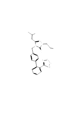 CCCn1nc(CC(C)C)n(Cc2ccc(-c3ccccc3-c3nnn[nH]3)cc2)c1=O